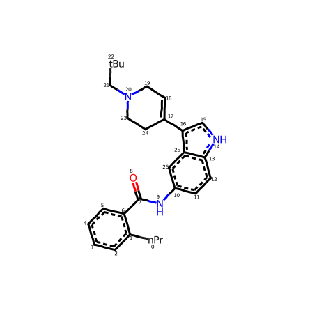 CCCc1ccccc1C(=O)Nc1ccc2[nH]cc(C3=CCN(CC(C)(C)C)CC3)c2c1